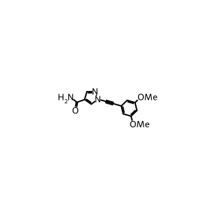 COc1cc(C#Cn2cc(C(N)=O)cn2)cc(OC)c1